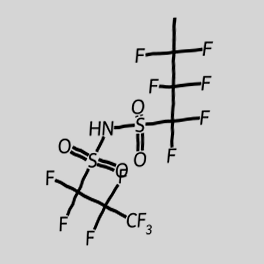 CC(F)(F)C(F)(F)C(F)(F)S(=O)(=O)NS(=O)(=O)C(F)(F)C(F)(F)C(F)(F)F